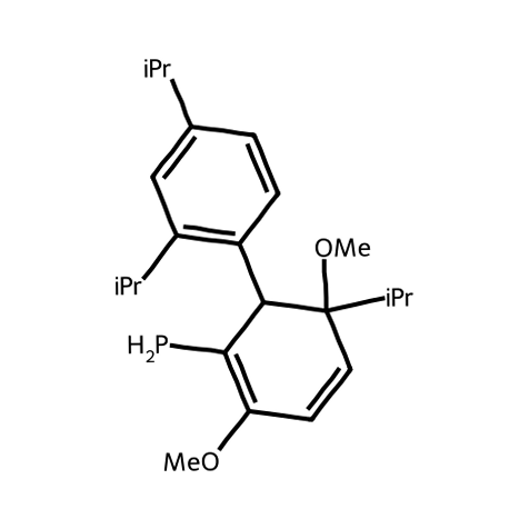 COC1=C(P)C(c2ccc(C(C)C)cc2C(C)C)C(OC)(C(C)C)C=C1